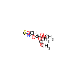 CCOC(=O)[C@](C)(Cc1ccc(OCCc2nc(-c3cccs3)oc2C)cc1)Oc1ccc(OC)cc1